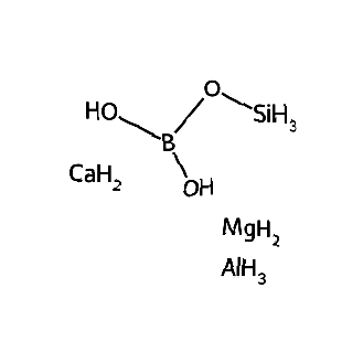 OB(O)O[SiH3].[AlH3].[CaH2].[MgH2]